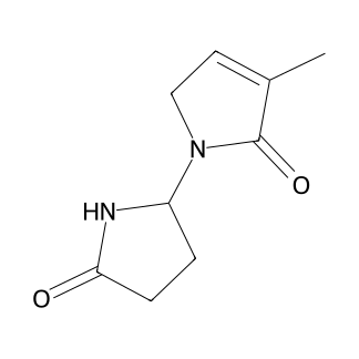 CC1=CCN(C2CCC(=O)N2)C1=O